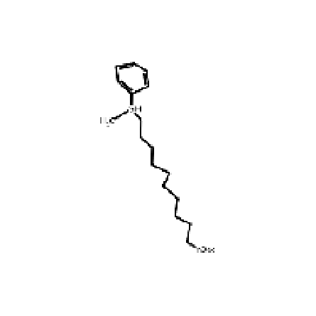 CCCCCCCCCCCCCCCCCCCC[SiH](C)c1ccccc1